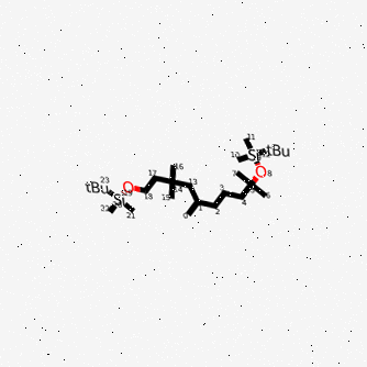 CC(CCCC(C)(C)O[Si](C)(C)C(C)(C)C)CC(C)(C)CCO[Si](C)(C)C(C)(C)C